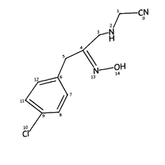 N#CCNCC(Cc1ccc(Cl)cc1)=NO